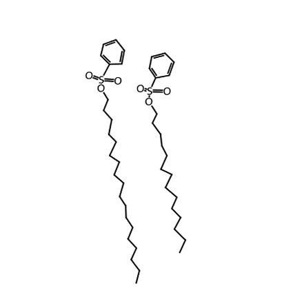 CCCCCCCCCCCCCCCCCCOS(=O)(=O)c1ccccc1.CCCCCCCCCCCCCCOS(=O)(=O)c1ccccc1